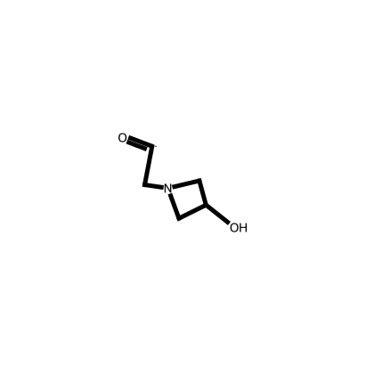 O=[C]CN1CC(O)C1